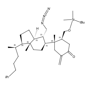 C=C1C[C@](C)([C@H]2CC[C@]3(C)[C@@H]([C@H](C)CCCC(C)C)CC[C@H]3[C@@H]2CN=[N+]=[N-])[C@@H](CO[Si](C)(C)C(C)(C)C)CC1=O